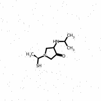 CC(C)NC1CN([C@H](C)S)CC1=O